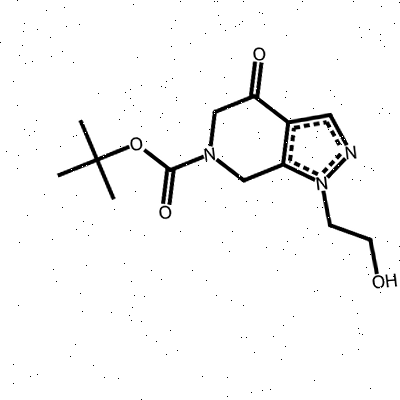 CC(C)(C)OC(=O)N1CC(=O)c2cnn(CCO)c2C1